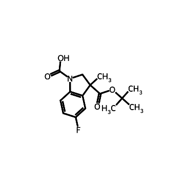 CC(C)(C)OC(=O)C1(C)CN(C(=O)O)c2ccc(F)cc21